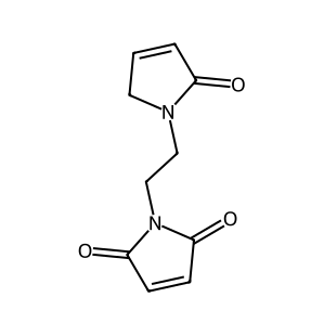 O=C1C=CCN1CCN1C(=O)C=CC1=O